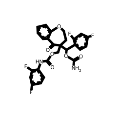 NC(=O)OC(c1ccc(F)cc1F)C1(COC(=O)Nc2ccc(F)cc2F)CCOc2ccccc2C1=O